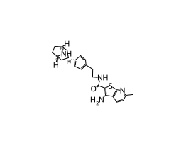 Cc1ccc2c(N)c(C(=O)NCCc3ccc([C@H]4C[C@H]5CC[C@@H](C4)N5)cc3)sc2n1